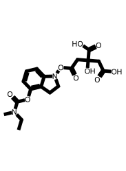 CCN(C)C(=O)Oc1cccc2c1CCN2OC(=O)CC(O)(CC(=O)O)C(=O)O